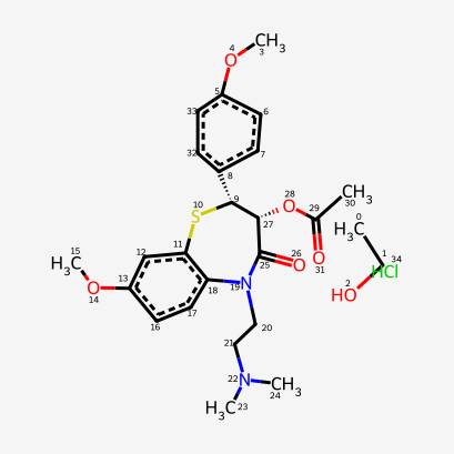 CCO.COc1ccc([C@H]2Sc3cc(OC)ccc3N(CCN(C)C)C(=O)[C@H]2OC(C)=O)cc1.Cl